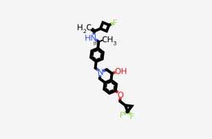 C=C(N[C@@H](C)c1ccc(CN2Cc3ccc(OCC4CC4(F)F)cc3C(O)C2)cc1)C1CC(F)C1